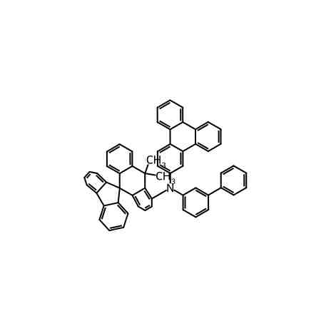 CC1(C)c2ccccc2C2(c3ccccc3-c3ccccc32)c2cccc(N(c3cccc(-c4ccccc4)c3)c3ccc4c5ccccc5c5ccccc5c4c3)c21